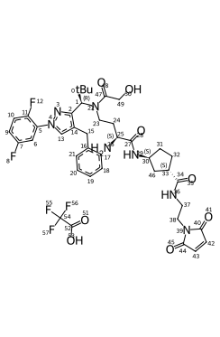 CC(C)(C)[C@H](c1nn(-c2cc(F)ccc2F)cc1Cc1ccccc1)N(CC[C@H](N)C(=O)N[C@H]1CC[C@H](C(=O)NCCN2C(=O)C=CC2=O)C1)C(=O)CO.O=C(O)C(F)(F)F